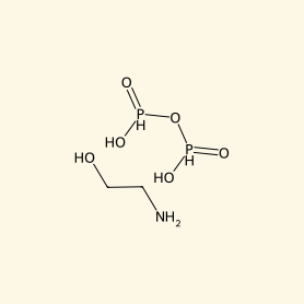 NCCO.O=[PH](O)O[PH](=O)O